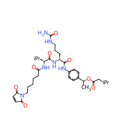 CC(C)CC(=O)OC(C)c1ccc(NC(=O)[C@H](CCCNC(N)=O)NC(=O)[C@@H](NC(=O)CCCCCN2C(=O)C=CC2=O)C(C)C)cc1